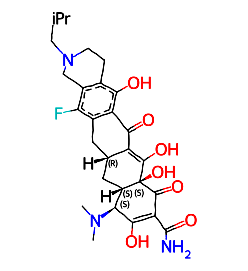 CC(C)CN1CCc2c(O)c3c(c(F)c2C1)C[C@H]1C[C@H]2[C@H](N(C)C)C(O)=C(C(N)=O)C(=O)[C@@]2(O)C(O)=C1C3=O